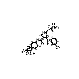 CCNC(=O)Nc1cc(Nc2cccc(C#N)c2)c(C(=O)Nc2ccc(CC(C)(C)C(=O)O)cc2)cn1